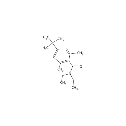 CCN(CC)C(=O)c1c(C)cc(C(C)(C)C)cc1C